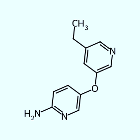 CCc1cncc(Oc2ccc(N)nc2)c1